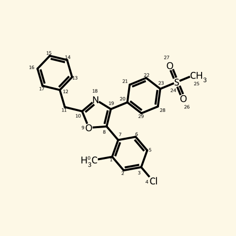 Cc1cc(Cl)ccc1-c1oc(Cc2ccccc2)nc1-c1ccc(S(C)(=O)=O)cc1